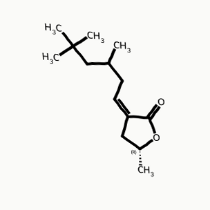 CC(CC=C1C[C@@H](C)OC1=O)CC(C)(C)C